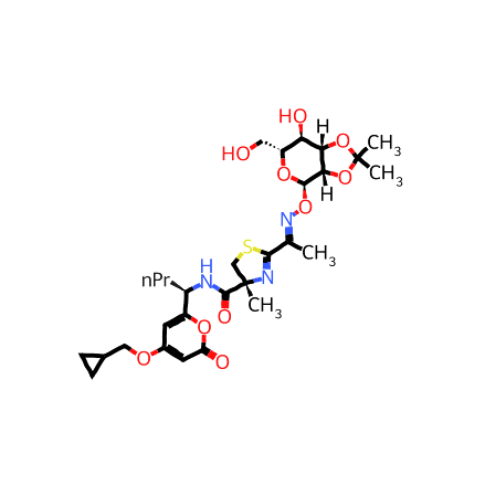 CCC[C@@H](NC(=O)[C@]1(C)CSC(/C(C)=N/O[C@H]2O[C@H](CO)[C@@H](O)[C@@H]3OC(C)(C)O[C@H]23)=N1)c1cc(OCC2CC2)cc(=O)o1